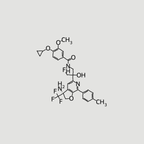 COc1cc(C(=O)NCC(O)(CF)c2cc3c(c(-c4ccc(C)cc4)n2)OC[C@@]3(N)C(F)(F)F)ccc1OC1CC1